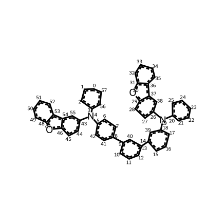 c1ccc(N(c2ccc(-c3cccc(-c4cccc(N(c5ccccc5)c5ccc6oc7ccccc7c6c5)c4)c3)cc2)c2ccc3oc4ccccc4c3c2)cc1